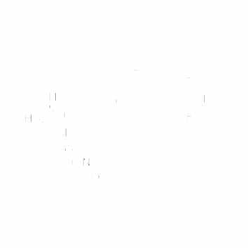 CCP(=O)(OC)c1cc(Oc2ccc(C(F)(F)F)cc2F)ccc1[N+](=O)[O-]